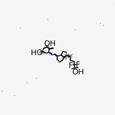 C=C1/C(=C\C=C2CCC[C@@]3(C)C2CC[C@@H]3[C@H](C)CCC(F)(F)C(C)(C)O)C[C@@H](O)C[C@@H]1O